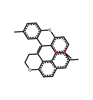 Cc1ccc2c(c1)C(=C1CCOc3ccc4cc(C)ccc4c31)c1cc(C)ccc1S2